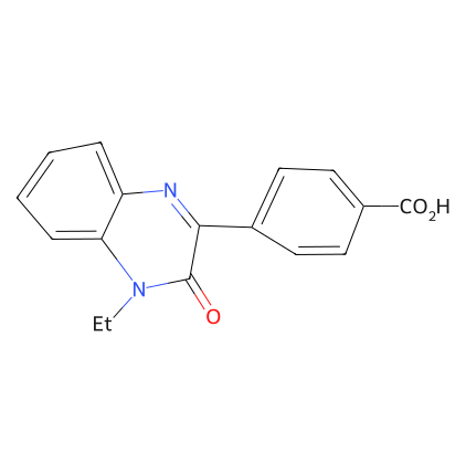 CCn1c(=O)c(-c2ccc(C(=O)O)cc2)nc2ccccc21